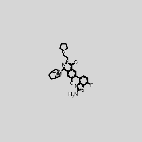 Nc1nc2c(-c3cc4c(=O)n(CCN5CCCC5)nc(N5CC6CCC(C5)N6)c4cc3Cl)ccc(F)c2s1